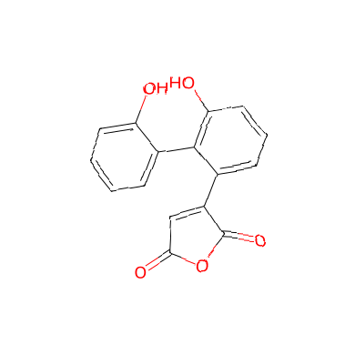 O=C1C=C(c2cccc(O)c2-c2ccccc2O)C(=O)O1